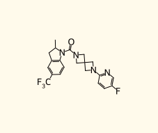 CC1Cc2cc(C(F)(F)F)ccc2N1C(=O)N1CC2(C1)CN(c1ccc(F)cn1)C2